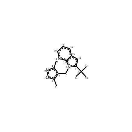 Cc1noc(C)c1Cn1c(C(C)(C)C)cc2cccnc21